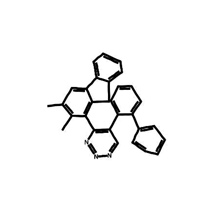 Cc1cc2c(c(-c3nnncc3-c3ccccc3-c3ccccc3)c1C)Cc1ccccc1-2